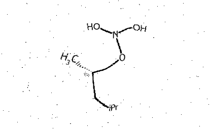 CC(C)C[C@H](C)ON(O)O